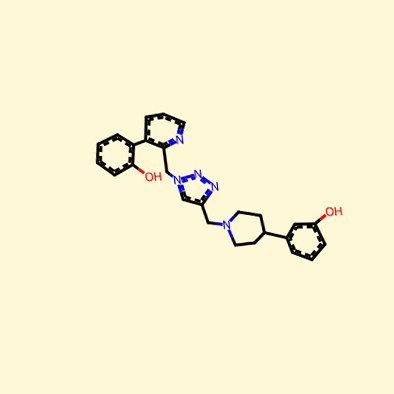 Oc1cccc(C2CCN(Cc3cn(Cc4ncccc4-c4ccccc4O)nn3)CC2)c1